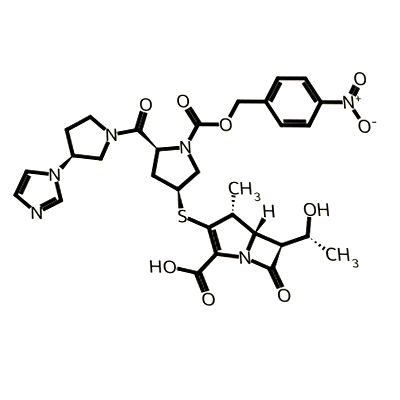 C[C@@H](O)[C@H]1C(=O)N2C(C(=O)O)=C(S[C@H]3C[C@@H](C(=O)N4CC[C@H](n5ccnc5)C4)N(C(=O)OCc4ccc([N+](=O)[O-])cc4)C3)[C@H](C)[C@H]12